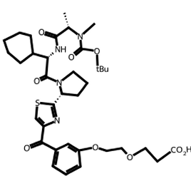 C[C@@H](C(=O)N[C@H](C(=O)N1CCC[C@@H]1c1nc(C(=O)c2cccc(OCCOCCC(=O)O)c2)cs1)C1CCCCC1)N(C)C(=O)OC(C)(C)C